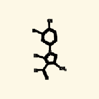 CCC(=O)c1c(C)cn(-c2ccc(C#N)c(Br)c2)c1CC